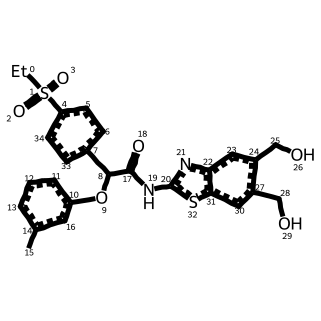 CCS(=O)(=O)c1ccc(C(Oc2cccc(C)c2)C(=O)Nc2nc3cc(CO)c(CO)cc3s2)cc1